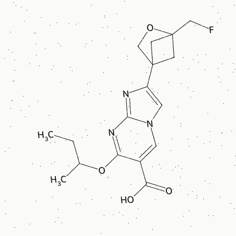 CCC(C)Oc1nc2nc(C34COC(CF)(C3)C4)cn2cc1C(=O)O